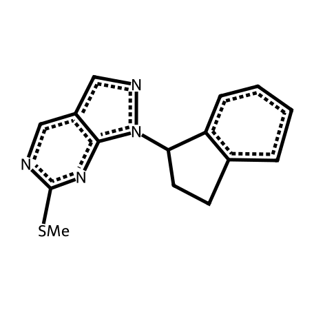 CSc1ncc2cnn(C3CCc4ccccc43)c2n1